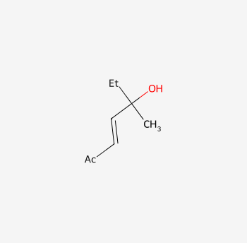 CCC(C)(O)C=CC(C)=O